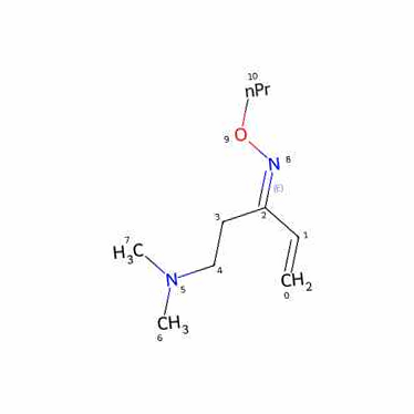 C=C/C(CCN(C)C)=N/OCCC